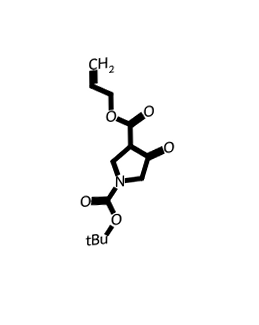 C=CCOC(=O)C1CN(C(=O)OC(C)(C)C)CC1=O